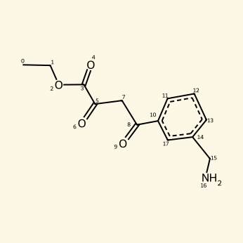 CCOC(=O)C(=O)CC(=O)c1cccc(CN)c1